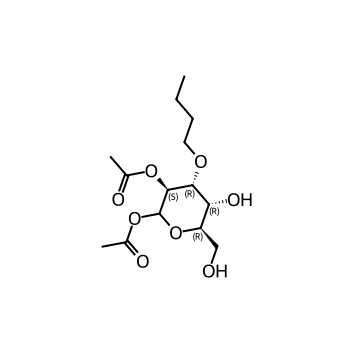 CCCCO[C@@H]1[C@H](O)[C@@H](CO)OC(OC(C)=O)[C@H]1OC(C)=O